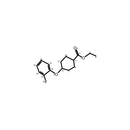 CCOC(=O)C1CCC(Oc2ccccc2F)CC1